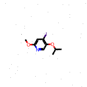 COc1cc(I)c(OC(C)C)cn1